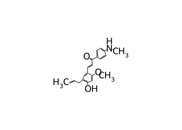 CC=CCc1cc(C=CC(=O)c2ccc(NC)cc2)c(OC)cc1O